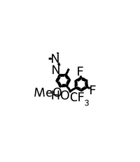 COc1cc(/N=C/N(C)C)c(C)cc1C(O)(c1cc(F)cc(F)c1)C(F)(F)F